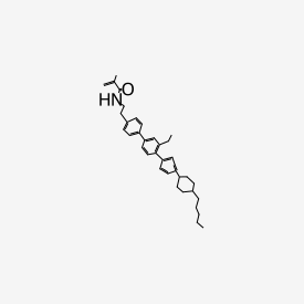 C=C(C)C(=O)NCCc1ccc(-c2ccc(-c3ccc(C4CCC(CCCCC)CC4)cc3)c(CC)c2)cc1